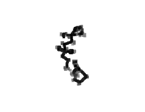 O=S(=O)(CCC[C@H]1CCCN1)CCC(F)(F)C(F)(F)F